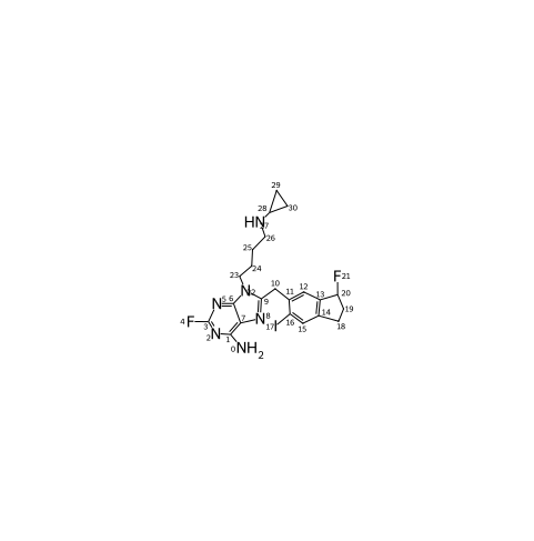 Nc1nc(F)nc2c1nc(Cc1cc3c(cc1I)CCC3F)n2CCCCNC1CC1